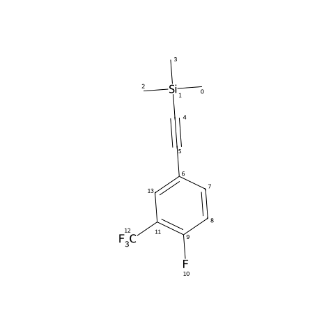 C[Si](C)(C)C#Cc1ccc(F)c(C(F)(F)F)c1